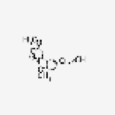 C#CCOc1ccc(OC)c(C(CC(=O)OC)N=O)c1